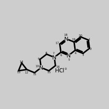 Cl.c1ccc2nc(N3CCN(CC4CC4)CC3)cnc2c1